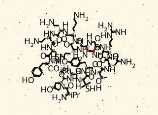 CC[C@H](C)[C@H](NC(=O)[C@@H]1C[C@@H](O)CN1C(=O)[C@@H](N)C(C)C)C(=O)N[C@H](C(=O)N[C@@H](Cc1ccc(O)cc1)C(=O)N[C@H](C(=O)N[C@@H](CC(N)=O)C(=O)N[C@@H](CCCNC(=N)N)C(=O)N[C@@H](CCN)C(=O)N[C@@H](CC(N)=O)C(=O)N[C@H](CCN)C(=O)N[C@@H](CCCCN)C(=O)N[C@@H](CCN)C(=O)N[C@@H](CCN)C(=O)N[C@@H](CS)C(=O)N[C@@H](Cc1ccc(O)cc1)C(=O)O)[C@@H](C)O)C(C)(C)S